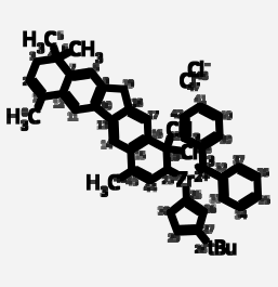 CC1=CCC(C)(C)c2cc3c(cc21)-c1cc2c(cc1C3)C(C)(C)[CH]([Zr+2]([C]1=CC(C(C)(C)C)=CC1)=[C](c1ccccc1)c1ccccc1)C=C2C.[Cl-].[Cl-]